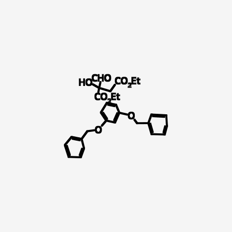 CCOC(=O)CC(O)(C=O)C(=O)OCC.c1ccc(COc2cccc(OCc3ccccc3)c2)cc1